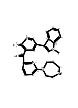 Cn1cc(-c2cnc(N)c(C(=O)c3cccc(N4CCCNCC4)n3)c2)c2ccccc21